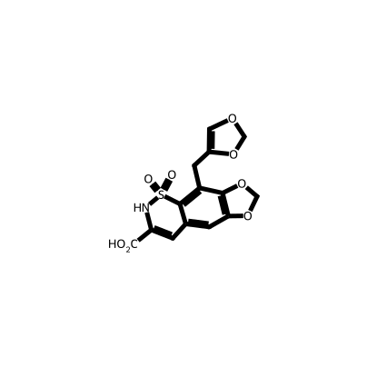 O=C(O)C1=Cc2cc3c(c(CC4=COCO4)c2S(=O)(=O)N1)OCO3